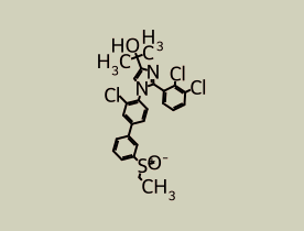 CC[S+]([O-])c1cccc(-c2ccc(-n3cc(C(C)(C)O)nc3-c3cccc(Cl)c3Cl)c(Cl)c2)c1